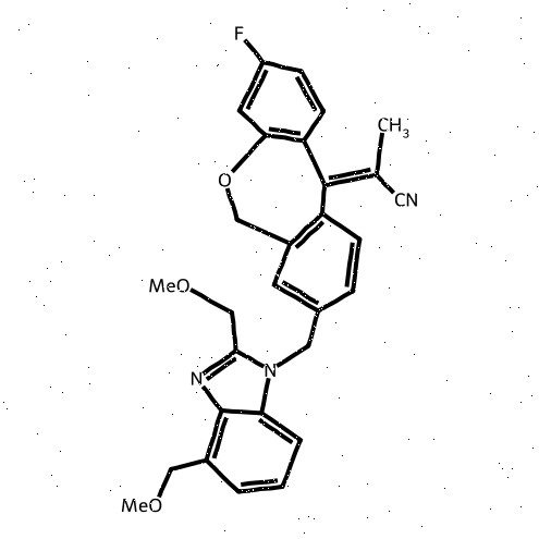 COCc1cccc2c1nc(COC)n2Cc1ccc2c(c1)COc1cc(F)ccc1C2=C(C)C#N